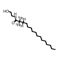 [2H]C([2H])(CCCCCCCCCCCCC)C([2H])([2H])C(=O)NCCO